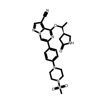 CC(Oc1nc(-c2ccc(N3CCN(S(C)(=O)=O)CC3)cc2)cn2ncc(C#N)c12)[C@H]1CNC(=O)C1